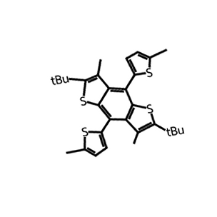 Cc1ccc(-c2c3sc(C(C)(C)C)c(C)c3c(-c3ccc(C)s3)c3sc(C(C)(C)C)c(C)c23)s1